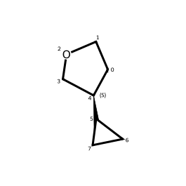 [CH]1COC[C@@H]1C1CC1